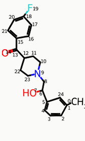 Cc1cccc(C(O)CN2CCC(C(=O)c3ccc(F)cc3)CC2)c1